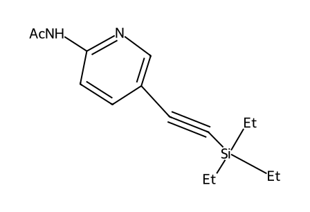 CC[Si](C#Cc1ccc(NC(C)=O)nc1)(CC)CC